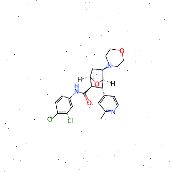 Cc1cc([C@H]2[C@H]3O[C@H](C[C@H]3N3CCOCC3)[C@@H]2C(=O)Nc2ccc(Cl)c(Cl)c2)ccn1